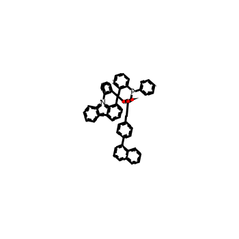 c1ccc(P2c3ccccc3C3(c4ccccc4-n4c5ccccc5c5cccc3c54)c3cc(-c4ccc(-c5cccc6ccccc56)cc4)ccc32)cc1